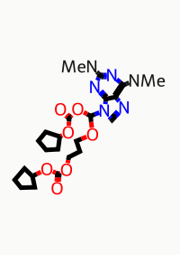 CNc1nc(NC)c2ncn(C(OCCCOC(=O)OC3CCCC3)OC(=O)OC3CCCC3)c2n1